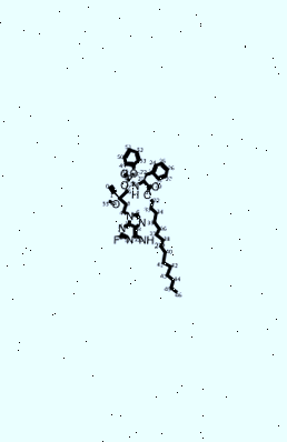 C#C[C@](CCn1cnc2c(N)nc(F)nc21)(COP(=O)(N[C@@H](Cc1ccccc1)C(=O)OCCCCCCCCCCCCCCC)Oc1ccccc1)OC